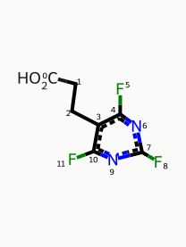 O=C(O)CCc1c(F)nc(F)nc1F